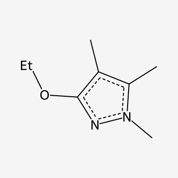 CCOc1nn(C)c(C)c1C